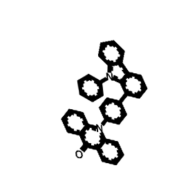 O=c1c2ccccc2n(-c2ccc(-c3cccc4c5ccccc5n(-c5ccccc5)c34)cc2)c2ccccc12